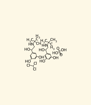 CC(C)(C)NCC(O)c1cc(O)cc(O)c1.CC(C)(C)NCC(O)c1cc(O)cc(O)c1.ClC(Cl)Cl.O=S(=O)(O)O